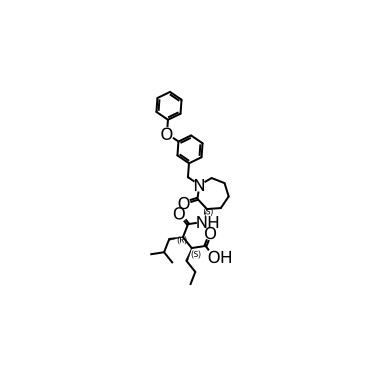 CCC[C@H](C(=O)O)[C@@H](CC(C)C)C(=O)N[C@H]1CCCCN(Cc2cccc(Oc3ccccc3)c2)C1=O